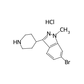 Cl.Cn1nc(C2CCNCC2)c2ccc(Br)cc21